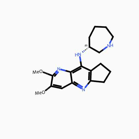 COc1cc2nc3c(c(N[C@@H]4CCCCNC4)c2nc1OC)CCC3